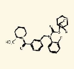 O=C(O)[C@@H]1CCCCN1C(=O)c1cccc(CN(C(=O)O[C@H]2CN3CCC2CC3)c2ccccc2F)c1